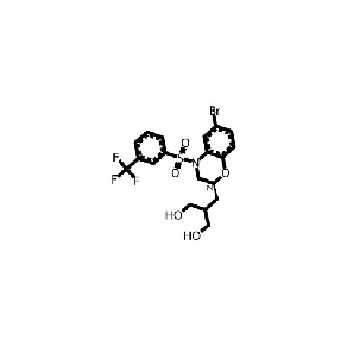 O=S(=O)(c1cccc(C(F)(F)F)c1)N1C[C@H](CC(CO)CO)Oc2ccc(Br)cc21